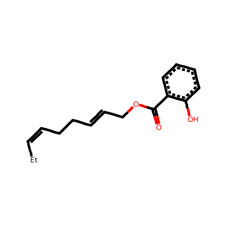 CC/C=C\CC/C=C/COC(=O)c1ccccc1O